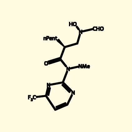 CCCCC[C@@H](CN(O)C=O)C(=O)N(NC)c1nccc(C(F)(F)F)n1